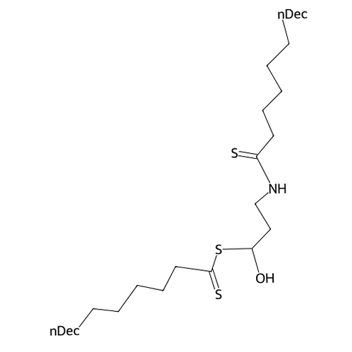 CCCCCCCCCCCCCCCC(=S)NCCC(O)SC(=S)CCCCCCCCCCCCCCC